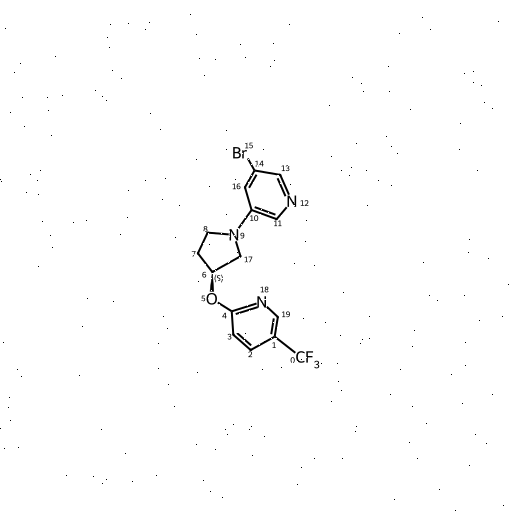 FC(F)(F)c1ccc(O[C@H]2CCN(c3cncc(Br)c3)C2)nc1